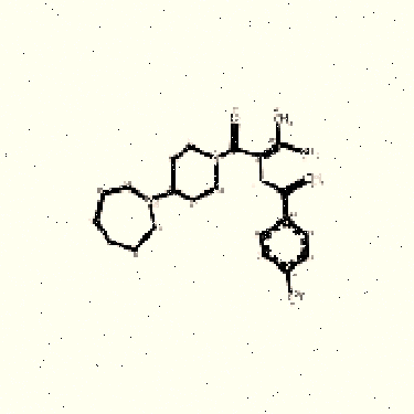 C=C(S/C(C(=O)N1CCC(N2CCCCCC2)CC1)=C(/C)N)c1ccc(CCC)cc1